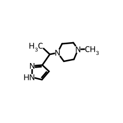 CC(c1cc[nH]n1)N1CCN(C)CC1